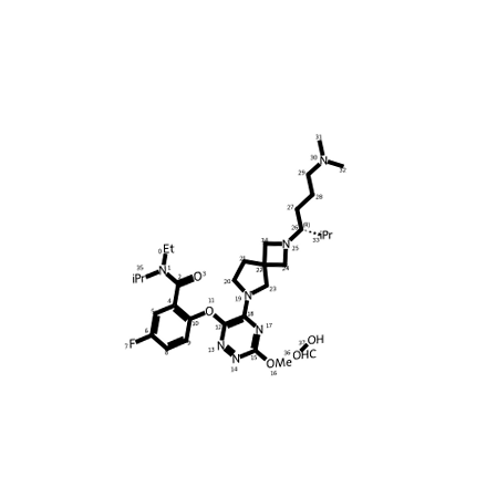 CCN(C(=O)c1cc(F)ccc1Oc1nnc(OC)nc1N1CCC2(C1)CN([C@H](CCCN(C)C)C(C)C)C2)C(C)C.O=CO